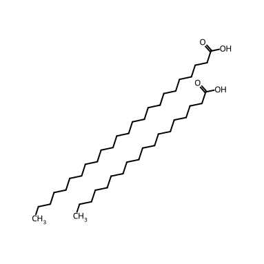 CCCCCCCCCCCCCCCCCC(=O)O.CCCCCCCCCCCCCCCCCCCCCCCC(=O)O